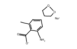 C1COOC1.Cc1cccc(N)c1C(=O)[O-].[Na+]